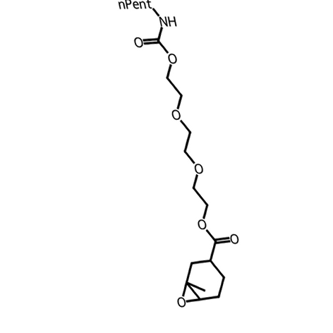 CCCCCNC(=O)OCCOCCOCCOC(=O)C1CCC2OC2(C)C1